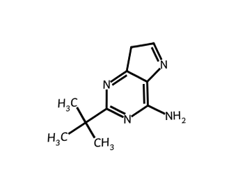 CC(C)(C)c1nc(N)c2c(n1)CC=N2